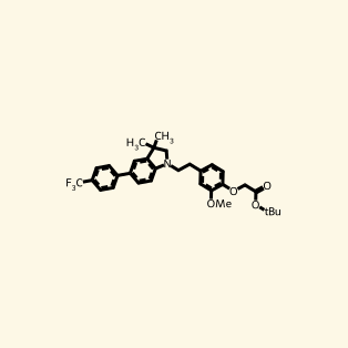 COc1cc(CCN2CC(C)(C)c3cc(-c4ccc(C(F)(F)F)cc4)ccc32)ccc1OCC(=O)OC(C)(C)C